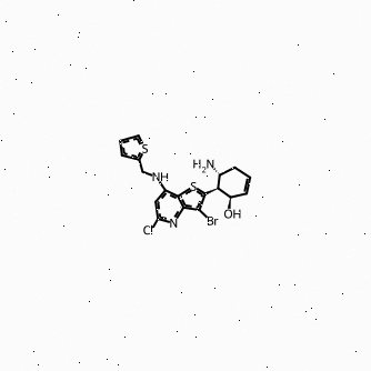 N[C@@H]1CC=C[C@@H](O)[C@H]1c1sc2c(NCc3cccs3)cc(Cl)nc2c1Br